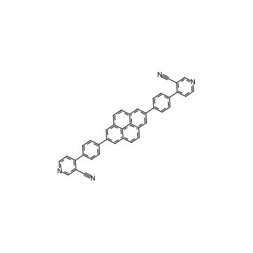 N#Cc1cnccc1-c1ccc(-c2cc3ccc4cc(-c5ccc(-c6ccncc6C#N)cc5)cc5ccc(c2)c3c45)cc1